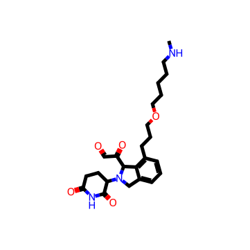 CNCCCCCOCCCc1cccc2c1C(C(=O)C=O)N(C1CCC(=O)NC1=O)C2